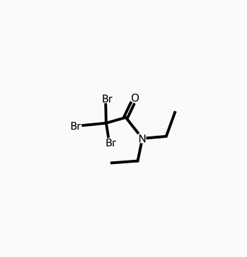 CCN(CC)C(=O)C(Br)(Br)Br